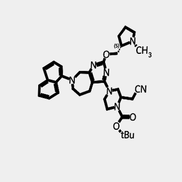 CN1CCC[C@H]1COc1nc2c(c(N3CCN(C(=O)OC(C)(C)C)C(CC#N)C3)n1)CCCN(c1cccc3ccccc13)C2